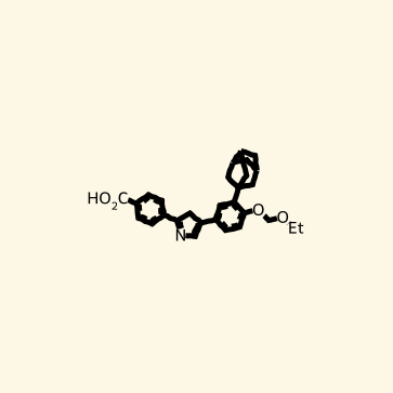 CCOCOc1ccc(C2=CN=C(c3ccc(C(=O)O)cc3)C2)cc1C12CC3CC(C1)C(C3)C2